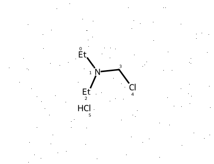 CCN(CC)CCl.Cl